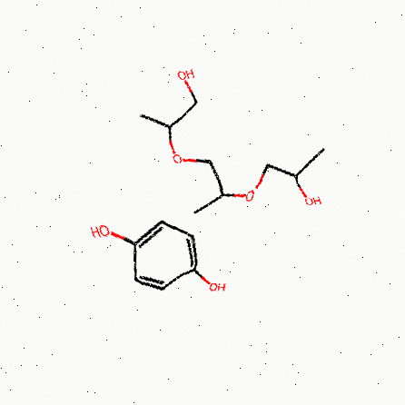 CC(O)COC(C)COC(C)CO.Oc1ccc(O)cc1